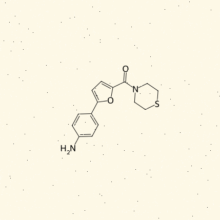 Nc1ccc(-c2ccc(C(=O)N3CCSCC3)o2)cc1